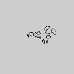 C#CCOC(C1CCCCC1)C(CCN1CCN(c2ccc(F)cc2OC)CC1)c1ccccc1